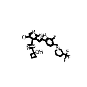 OC1(c2ncc(-c3c(Cl)cnc4[nH]c(-c5ccc(CN6CCCC(C(F)(F)F)C6)c(F)c5)cc34)s2)CCC1